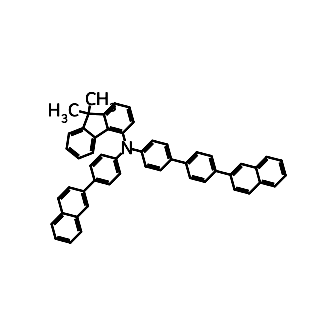 CC1(C)c2ccccc2-c2c(N(c3ccc(-c4ccc(-c5ccc6ccccc6c5)cc4)cc3)c3ccc(-c4ccc5ccccc5c4)cc3)cccc21